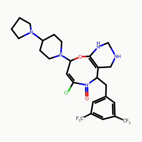 O=[N+]1/C(Cl)=C\C(N2CCC(N3CCCC3)CC2)OC2=C(CNCN2)C1Cc1cc(C(F)(F)F)cc(C(F)(F)F)c1